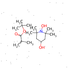 C=C(C)C(=O)OC(C)(C)C.CC1(C)CC(O)CC(C)(C)N1O